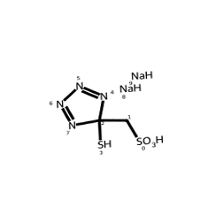 O=S(=O)(O)CC1(S)N=NN=N1.[NaH].[NaH]